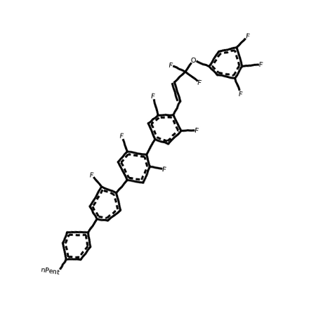 CCCCCc1ccc(-c2ccc(-c3cc(F)c(-c4cc(F)c(/C=C/C(F)(F)Oc5cc(F)c(F)c(F)c5)c(F)c4)c(F)c3)c(F)c2)cc1